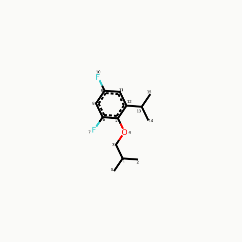 CC(C)COc1c(F)cc(F)cc1C(C)C